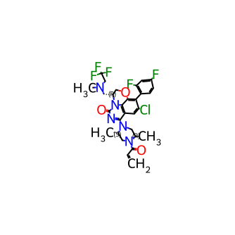 C=CC(=O)N1C[C@H](C)N(c2nc(=O)n3c4c(c(-c5ccc(F)cc5F)c(Cl)cc24)OC[C@H]3CN(C)CC(F)(F)F)C[C@H]1C